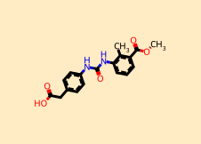 COC(=O)c1cccc(NC(=O)Nc2ccc(CC(=O)O)cc2)c1C